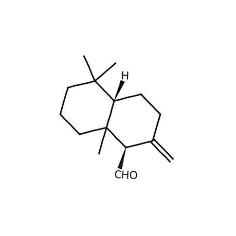 C=C1CC[C@H]2C(C)(C)CCCC2(C)[C@@H]1C=O